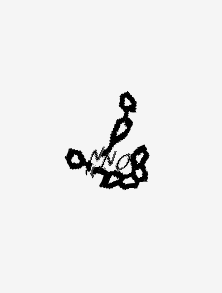 c1ccc(-c2ccc(-c3nc(-c4ccccc4)nc(-c4ccc5ccc6ccc7cccc8c7c6c5c4O8)n3)cc2)cc1